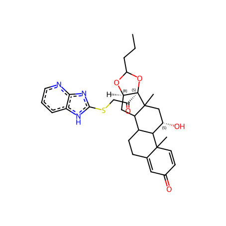 CCCC1O[C@@H]2CC3C4CCC5=CC(=O)C=CC5(C)C4[C@@H](O)CC3(C)[C@]2(C(=O)CSc2nc3ncccc3[nH]2)O1